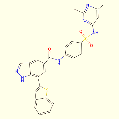 Cc1cc(NS(=O)(=O)c2ccc(NC(=O)c3cc(-c4cc5ccccc5s4)c4[nH]ncc4c3)cc2)nc(C)n1